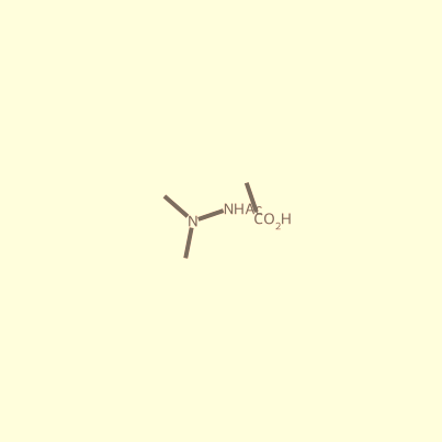 CC(=O)NN(C)C.CC(=O)O